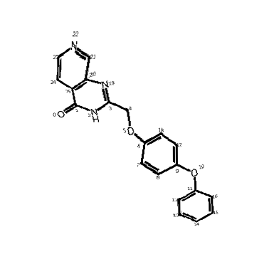 O=c1[nH]c(COc2ccc(Oc3ccccc3)cc2)nc2cnccc12